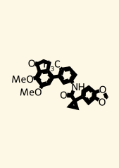 COc1cc(-c2cc(NC(=O)C3(c4ccc5c(c4)OCO5)CC3)ccc2C)c2c(c1OC)C(=O)CC2